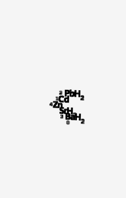 [BaH2].[Cd].[PbH2].[SrH2].[Zn]